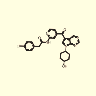 O=C(Cc1ccc(Cl)cc1)Nc1cc(C(=O)c2cn([C@H]3CC[C@H](O)CC3)c3ncncc23)ccn1